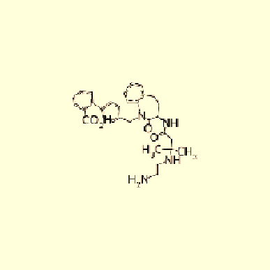 CC(C)(CC(=O)N[C@@H]1CCc2ccccc2N(Cc2ccc(-c3ccccc3C(=O)O)cc2)C1=O)NCCN